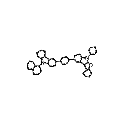 c1ccc(-n2c3ccc(-c4ccc(-c5ccc6c(c5)c5ccccc5n6-c5cccc6ccccc56)cc4)cc3c3c4ccccc4oc32)cc1